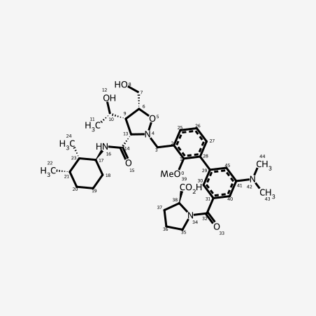 COc1c(CN2O[C@@H](CO)[C@@H]([C@H](C)O)[C@H]2C(=O)N[C@H]2CCC[C@H](C)[C@@H]2C)cccc1-c1cc(C(=O)N2CCC[C@H]2C(=O)O)cc(N(C)C)c1